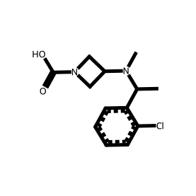 CC(c1ccccc1Cl)N(C)C1CN(C(=O)O)C1